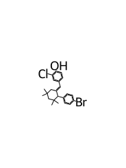 CC1(C)CC(=Cc2ccc(O)c(Cl)c2)C(c2ccc(Br)cc2)C(C)(C)C1